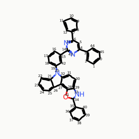 c1ccc(-c2cc(-c3ccccc3)nc(-c3cccc(-n4c5ccccc5c5c6c(ccc54)NC(c4ccccc4)O6)c3)n2)cc1